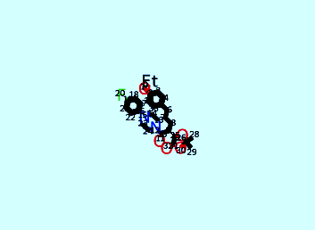 CCOc1ccc(CCCC(C(=O)N2CCN(c3ccc(F)cc3)CC2)[C@@H]2OC(C)(C)OC2=O)cc1